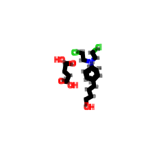 O=C(O)CCC(=O)O.OCCCCc1ccc(N(CCCl)CCCl)cc1